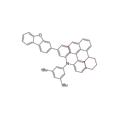 CC(C)(C)c1cc(N(c2cccc(-c3ccc4c(c3)oc3ccccc34)c2)c2ccccc2-c2cccc3cccc(C4CCCCC4)c23)cc(C(C)(C)C)c1